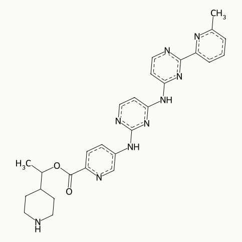 Cc1cccc(-c2nccc(Nc3ccnc(Nc4ccc(C(=O)OC(C)C5CCNCC5)nc4)n3)n2)n1